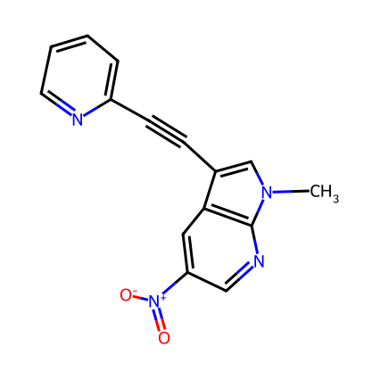 Cn1cc(C#Cc2ccccn2)c2cc([N+](=O)[O-])cnc21